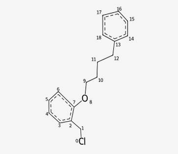 ClCc1ccccc1OCCCCc1ccccc1